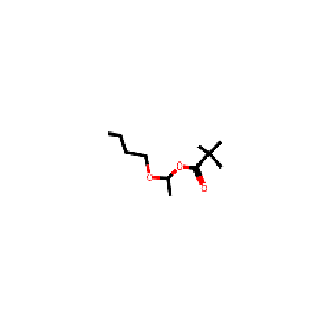 CCCCOC(C)OC(=O)C(C)(C)C